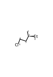 CC[C@H](C)CCCl